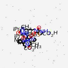 CCC(C)C(C(CC(=O)N1CCC[C@H]1C(OC)C(C)C(=O)NC(Cc1c[nH]c2ccccc12)C(=O)O)OC)N(C)C(=O)C(NC(=O)C(C(C)C)N(C)CCCCCCN1C(=O)CC(SCC(N)C(=O)O)C1=O)C(C)C